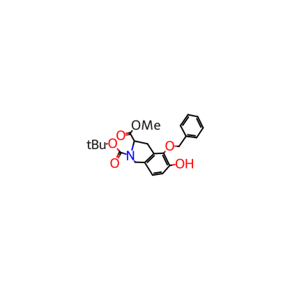 COC(=O)C1Cc2c(ccc(O)c2OCc2ccccc2)CN1C(=O)OC(C)(C)C